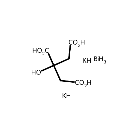 O=C(O)CC(O)(CC(=O)O)C(=O)O.[BiH3].[KH].[KH]